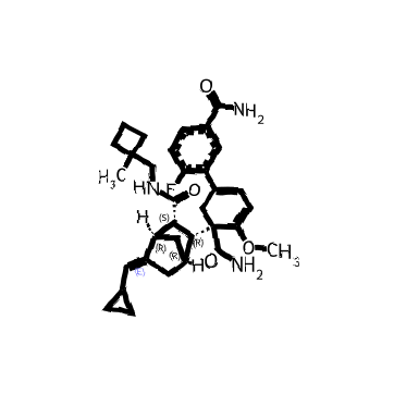 COC1=CC=C(c2cc(C(N)=O)ccc2F)CC1(C(N)=O)[C@@H]1[C@H]2C/C(=C\C3CC3)[C@H](C2)[C@@H]1C(=O)NCC1(C)CCC1